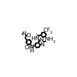 Cc1nc(N[C@H](C)c2cc(N)cc(C(F)(F)F)c2)c2cc(Nc3ccc(CC(=O)N(C)C)cc3O)ccc2n1